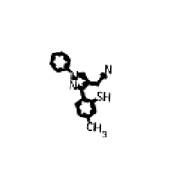 Cc1ccc(-c2nn(-c3ccccc3)cc2CC#N)c(S)c1